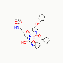 CC(C)(C)OC(=O)NCCCC[C@H](NC(=O)[C@@H]1C[C@@H](OCC2CCCCC2)CN1C(=O)OCc1ccccc1)C(O)c1nc2ccccc2o1